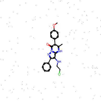 COc1ccc(-c2c(C)[nH]c3c(NCCCl)c(-c4ccccc4)nn3c2=O)cc1